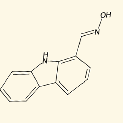 ON=Cc1cccc2c1[nH]c1ccccc12